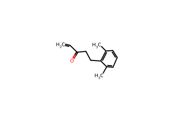 C=CC(=O)CCc1c(C)cccc1C